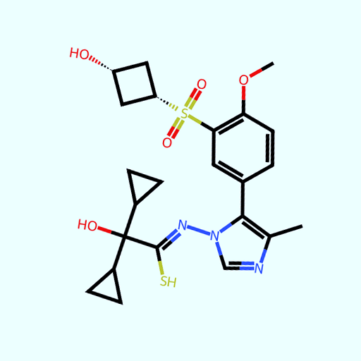 COc1ccc(-c2c(C)ncn2/N=C(\S)C(O)(C2CC2)C2CC2)cc1S(=O)(=O)[C@H]1C[C@@H](O)C1